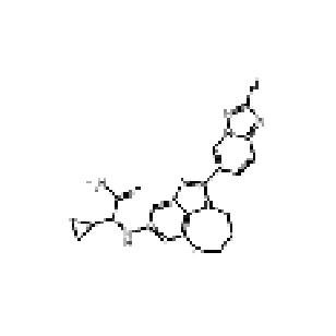 NC(=O)[C@@H](Nc1cc2c3c(c1)nc(-c1ccc4nc(Cl)nn4c1)n3CCCO2)C1CC1